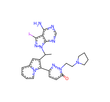 CC(c1cc2ccccn2c1-c1ccc(=O)n(CCN2CCCC2)n1)n1nc(I)c2c(N)ncnc21